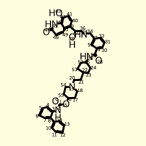 O=C(Nc1ccccc1-c1ccccc1)OC1CCN(CCC2CCC(NC(=O)c3cccc(CNC[C@@H](O)c4ccc(O)c5[nH]c(=O)ccc45)c3)CC2)CC1